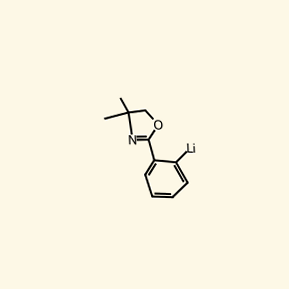 [Li][c]1ccccc1C1=NC(C)(C)CO1